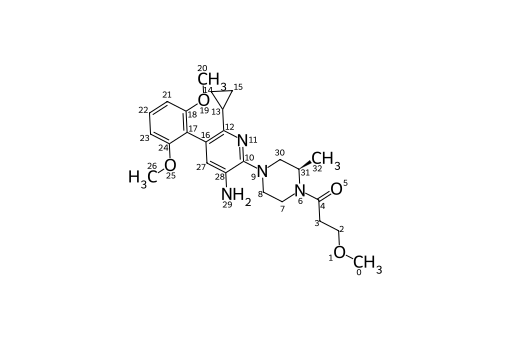 COCCC(=O)N1CCN(c2nc(C3CC3)c(-c3c(OC)cccc3OC)cc2N)C[C@H]1C